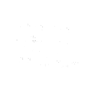 COCC(CN(C)C)Oc1cc(OC)c(Nc2ncc(Cl)c(-c3cnn4ccccc34)n2)cc1N